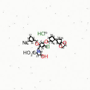 Cc1c(COc2cc(OCc3cccc(C#N)c3)c(CN3C[C@H](O)C[C@@H]3C(=O)O)cc2Cl)cccc1-c1ccc2c(c1)OCCO2.Cl